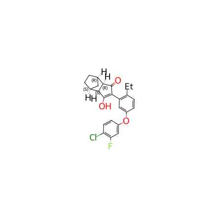 CCc1ccc(Oc2ccc(Cl)c(F)c2)cc1C1=C(O)[C@H]2[C@H]3CC[C@H](C3)[C@H]2C1=O